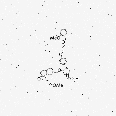 COCCCn1c(=O)ccc2ccc(COC3CN(C(=O)O)CCC3c3ccc(OCCCOCc4ccccc4OC)cc3)cc21